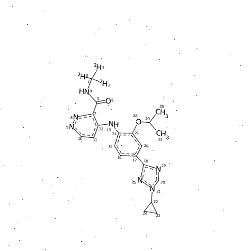 [2H]C([2H])([2H])NC(=O)c1nnccc1Nc1ccc(-c2ncn(C3CC3)n2)cc1OC(C)C